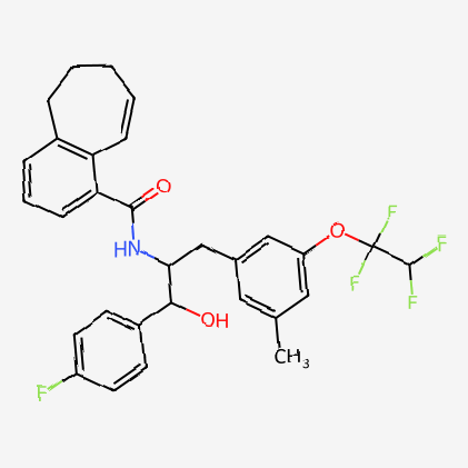 Cc1cc(CC(NC(=O)c2cccc3c2C=CCCC3)C(O)c2ccc(F)cc2)cc(OC(F)(F)C(F)F)c1